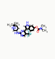 CN(C)C(=O)Oc1ccc2c(-c3nc(N[C@H]4CCC(C)(C)NC4)ncc3C(F)(F)F)c[nH]c2c1